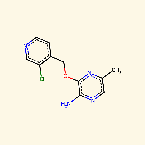 Cc1cnc(N)c(OCc2ccncc2Cl)n1